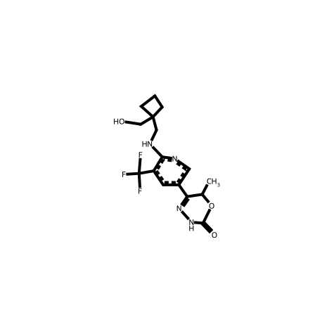 CC1OC(=O)NN=C1c1cnc(NCC2(CO)CCC2)c(C(F)(F)F)c1